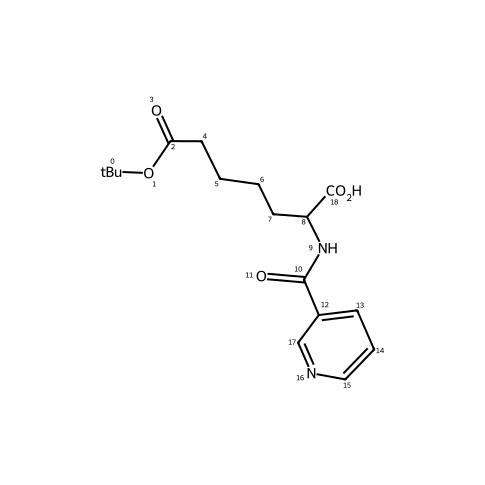 CC(C)(C)OC(=O)CCCCC(NC(=O)c1cccnc1)C(=O)O